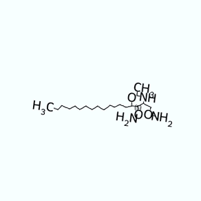 CCCCCCCCCCCCCCC1OC(C)NC(CON)[C@@H]1ON